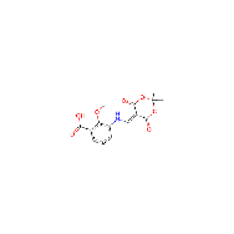 COc1c(NC=C2C(=O)OC(C)(C)OC2=O)cccc1C(=O)O